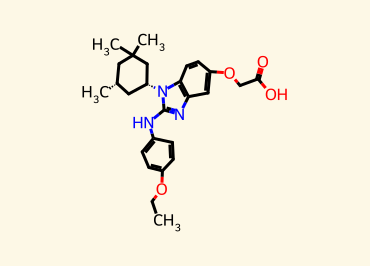 CCOc1ccc(Nc2nc3cc(OCC(=O)O)ccc3n2[C@@H]2C[C@H](C)CC(C)(C)C2)cc1